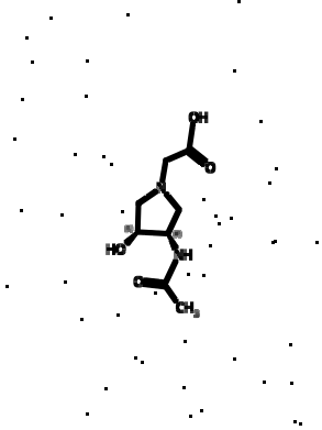 CC(=O)N[C@@H]1CN(CC(=O)O)C[C@@H]1O